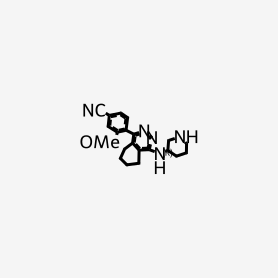 COc1cc(C#N)ccc1-c1nnc(N[C@@H]2CCCNC2)c2c1CCCC2